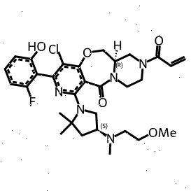 C=CC(=O)N1CCN2C(=O)c3c(N4C[C@@H](N(C)CCOC)CC4(C)C)nc(-c4c(O)cccc4F)c(Cl)c3OC[C@H]2C1